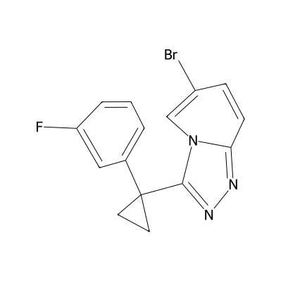 Fc1cccc(C2(c3nnc4ccc(Br)cn34)CC2)c1